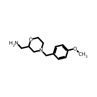 COc1ccc(CN2CCOC(CN)C2)cc1